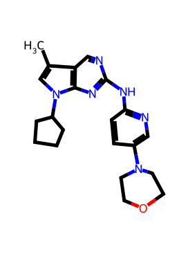 Cc1cn(C2CCCC2)c2nc(Nc3ccc(N4CCOCC4)cn3)ncc12